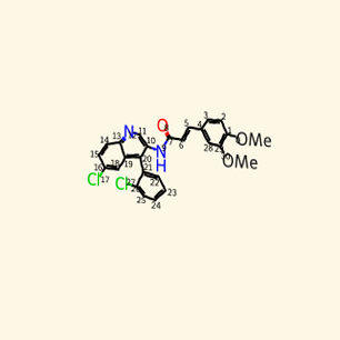 COc1ccc(C=CC(=O)Nc2cnc3ccc(Cl)cc3c2-c2ccccc2Cl)cc1OC